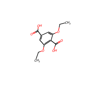 CCOc1cc(C(=O)O)cc(OCC)c1C(=O)O